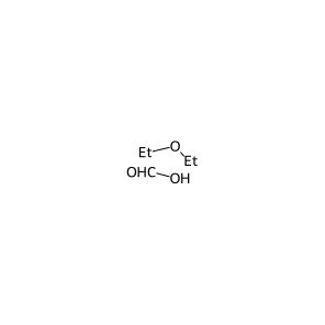 CCOCC.O=CO